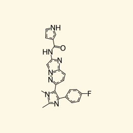 Cc1nc(-c2ccc(F)cc2)c(-c2ccc3nc(NC(=O)c4cc[nH]c4)cn3n2)n1C